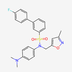 Cc1cc(CN(c2ccc(N(C)C)cc2)S(=O)(=O)c2cccc(-c3ccc(F)cc3)c2)on1